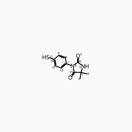 CC1(C)NC(=O)N(c2ccc(S)cc2)C1=O